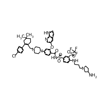 CC1(C)CCC(CN2CCN(c3ccc(C(=O)NS(=O)(=O)c4ccc(NCCCN5CCC(N)C5)c(S(=O)(=O)C(F)(F)F)c4)c(Oc4cnc5[nH]ccc5c4)c3)CC2)=C(c2ccc(Cl)cc2)C1